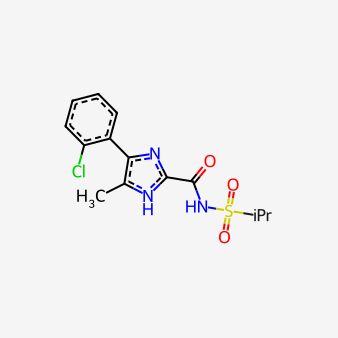 Cc1[nH]c(C(=O)NS(=O)(=O)C(C)C)nc1-c1ccccc1Cl